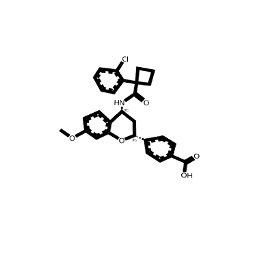 COc1ccc2c(c1)O[C@@H](c1ccc(C(=O)O)cc1)C[C@H]2NC(=O)C1(c2ccccc2Cl)CCC1